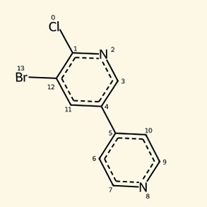 Clc1ncc(-c2ccncc2)cc1Br